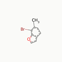 Cc1ccc2ccoc2c1Br